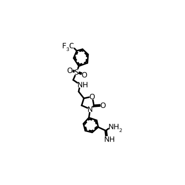 N=C(N)c1cccc(N2CC(CNCS(=O)(=O)c3cccc(C(F)(F)F)c3)OC2=O)c1